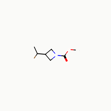 CC(S)C1CN(C(=O)OC(C)(C)C)C1